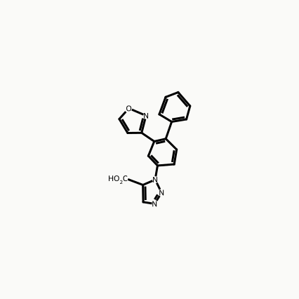 O=C(O)c1cnnn1-c1ccc(-c2ccccc2)c(-c2ccon2)c1